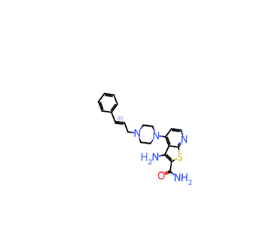 NC(=O)c1sc2nccc(N3CCN(C/C=C/c4ccccc4)CC3)c2c1N